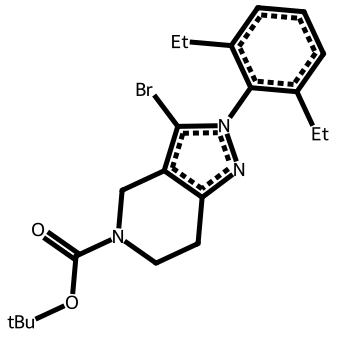 CCc1cccc(CC)c1-n1nc2c(c1Br)CN(C(=O)OC(C)(C)C)CC2